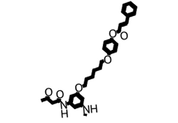 CNc1cc(NC(=O)CC(C)=O)cc(OCCCCCCOc2ccc(OC(=O)C=Cc3ccccc3)cc2)c1